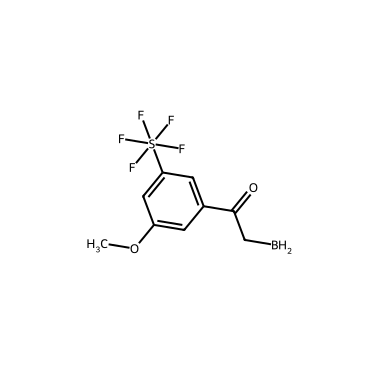 BCC(=O)c1cc(OC)cc(S(F)(F)(F)(F)F)c1